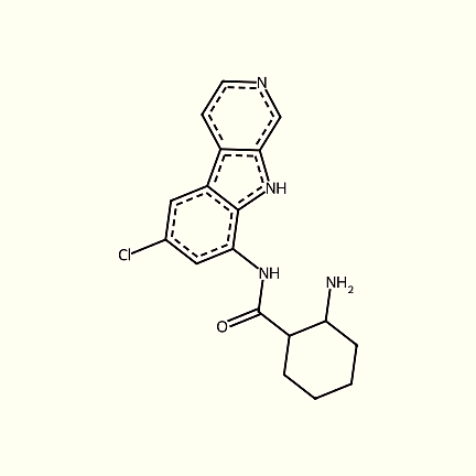 NC1CCCCC1C(=O)Nc1cc(Cl)cc2c1[nH]c1cnccc12